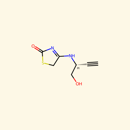 C#C[C@H](CO)NC1=NC(=O)SC1